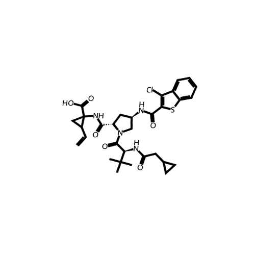 C=CC1CC1(NC(=O)[C@@H]1C[C@@H](NC(=O)c2sc3ccccc3c2Cl)CN1C(=O)[C@@H](NC(=O)CC1CC1)C(C)(C)C)C(=O)O